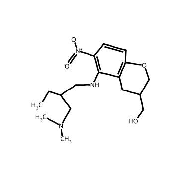 CCC(CNc1c([N+](=O)[O-])ccc2c1CC(CO)CO2)CN(C)C